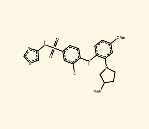 CNC1CCN(c2cc(OC)ccc2Nc2ccc(S(=O)(=O)Nc3cscn3)cc2Cl)C1